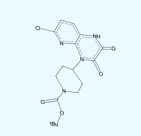 CC(C)(C)OC(=O)N1CCC(n2c(=O)c(=O)[nH]c3ccc(Cl)nc32)CC1